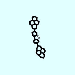 C1=CC2CC(c3ccc4c(c3)sc3cc(-c5cc6ccc7cccc8ccc(c5)c6c78)ccc34)=Cc3ccc4cccc1c4c32